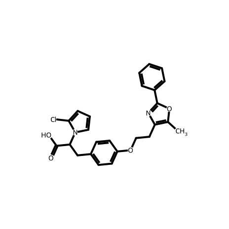 Cc1oc(-c2ccccc2)nc1CCOc1ccc(CC(C(=O)O)n2cccc2Cl)cc1